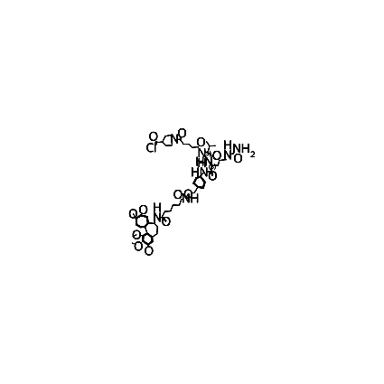 COc1cc2c(c(OC)c1OC)-c1ccc(OC)c(=O)cc1C(NC(=O)CCCCC(=O)NOCc1ccc(NC(=O)[C@H](CCCNC(N)=O)NC(=O)[C@@H](NC(=O)CCCC(=O)N3CCC(C(=O)Cl)CC3)C(C)C)cc1)CC2